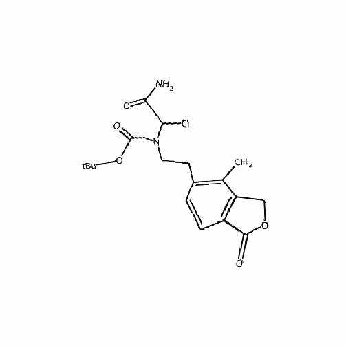 Cc1c(CCN(C(=O)OC(C)(C)C)C(Cl)C(N)=O)ccc2c1COC2=O